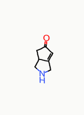 O=C1C=C2CNCC2C1